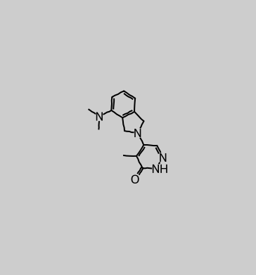 Cc1c(N2Cc3cccc(N(C)C)c3C2)cn[nH]c1=O